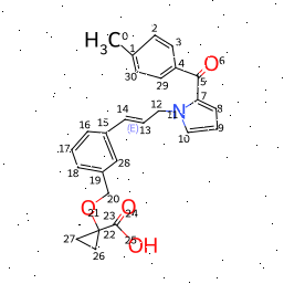 Cc1ccc(C(=O)c2cccn2C/C=C/c2cccc(COC3(C(=O)O)CC3)c2)cc1